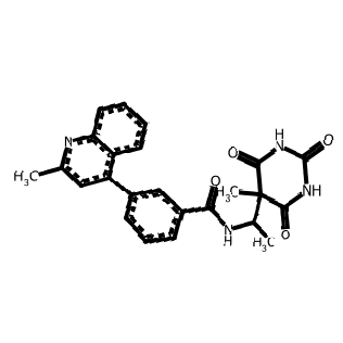 Cc1cc(-c2cccc(C(=O)NC(C)C3(C)C(=O)NC(=O)NC3=O)c2)c2ccccc2n1